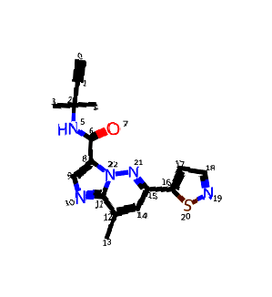 C#CC(C)(C)NC(=O)c1cnc2c(C)cc(-c3ccns3)nn12